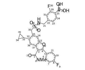 CNC(=O)c1c(-c2ccc(F)cc2)oc2cc(CS(=O)(=O)NCc3ccc(B(O)O)c(F)c3)c(C3CC3)cc12